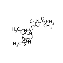 Cc1cnc(C2c3c(nc4sc(C)nn34)CCN2C(=O)COc2ccc(C(=O)N(C)C)nc2Cl)c(F)c1